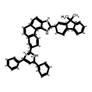 CC1(C)C2=CC(C3Nc4c(ccc5ccc6cc(C7=NC(c8ccccc8)=CC(c8ccccc8)N7)ccc6c45)S3)CC=C2c2ccccc21